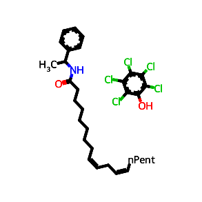 CCCCC/C=C\C/C=C\CCCCCCCC(=O)NC(C)c1ccccc1.Oc1c(Cl)c(Cl)c(Cl)c(Cl)c1Cl